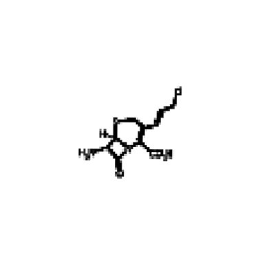 NC1C(=O)N2C(C(=O)O)=C(/C=C/CCl)CS[C@H]12